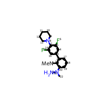 CNc1c(-c2cc(F)c(N3CCCCC3)c(F)c2)cccc1N(C)N